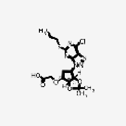 CCCSc1nc(Cl)c2nnn(C3C[C@H](OCC(=O)O)[C@H]4OC(C)(C)O[C@@H]34)c2n1